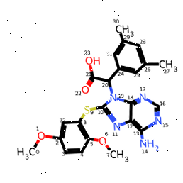 COc1ccc(OC)c(Sc2nc3c(N)ncnc3n2C(C(=O)O)c2cc(C)cc(C)c2)c1